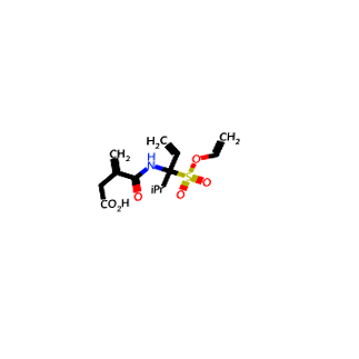 C=COS(=O)(=O)C(C=C)(NC(=O)C(=C)CC(=O)O)C(C)C